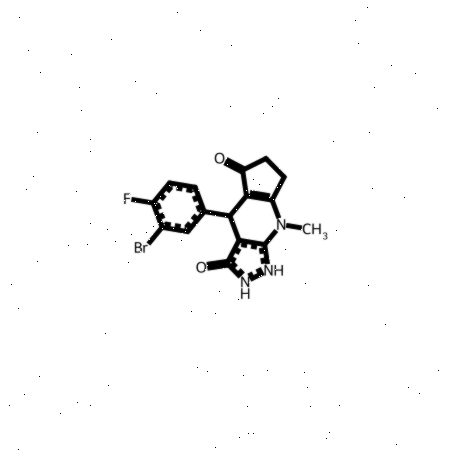 CN1C2=C(C(=O)CC2)C(c2ccc(F)c(Br)c2)c2c1[nH][nH]c2=O